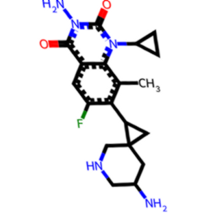 Cc1c(C2CC23CNCC(N)C3)c(F)cc2c(=O)n(N)c(=O)n(C3CC3)c12